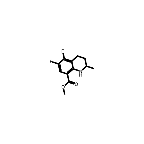 COC(=O)c1cc(F)c(F)c2c1NC(C)CC2